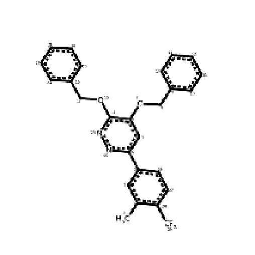 Cc1cc(-c2cc(OCc3ccccc3)c(OCc3ccccc3)nn2)ccc1C(F)(F)F